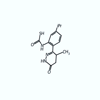 CC1CC(=O)NN=C1c1ccc(C(C)C)cc1NC(=O)S